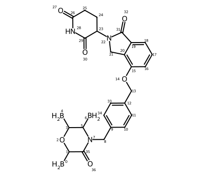 BC1OC(B)C(B)N(Cc2ccc(COc3cccc4c3CN(C3CCC(=O)NC3=O)C4=O)cc2)C1=O